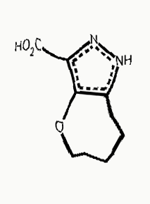 O=C(O)c1n[nH]c2c1OCCC2